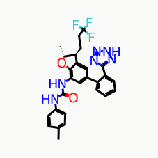 Cc1ccc(NC(=O)Nc2cc(-c3ccccc3-c3nn[nH]n3)cc3c2O[C@H](C)[C@H]3CCC(F)(F)F)cc1